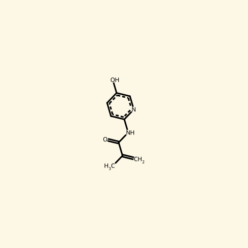 C=C(C)C(=O)Nc1ccc(O)cn1